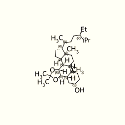 CC[C@H](CC[C@@H](C)[C@H]1CC[C@H]2[C@@H]3[C@H]4OC(C)(C)O[C@@H]4[C@H]4C[C@@H](O)CC[C@]4(C)[C@H]3CC[C@]12C)C(C)C